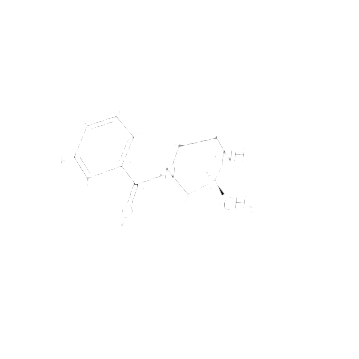 C[C@H]1CN(C(=O)c2ccccc2)CCN1